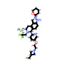 C[C@@H]1Cc2c(ccc3c2CN(C2CCCCO2)N3)[C@@H](c2ccc(OCCN3CC(CF)C3)cn2)N1CC(F)(F)F